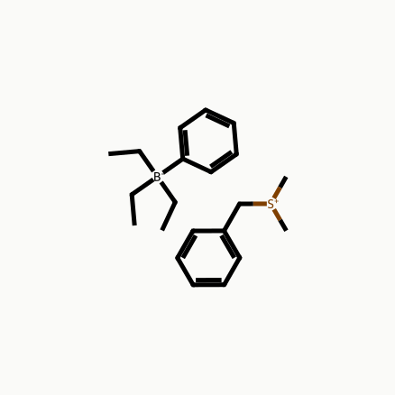 CC[B-](CC)(CC)c1ccccc1.C[S+](C)Cc1ccccc1